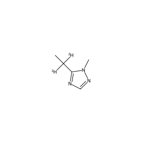 [2H]C([2H])(C)c1ncnn1C